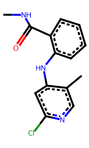 CNC(=O)c1ccccc1Nc1cc(Cl)ncc1C